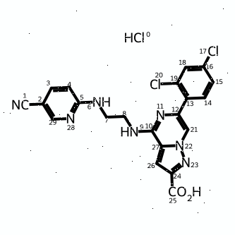 Cl.N#Cc1ccc(NCCNc2nc(-c3ccc(Cl)cc3Cl)cn3nc(C(=O)O)cc23)nc1